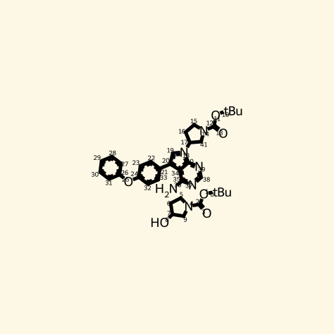 CC(C)(C)OC(=O)N1CCC(O)C1.CC(C)(C)OC(=O)N1CCC(n2cc(-c3ccc(Oc4ccccc4)cc3)c3c(N)ncnc32)C1